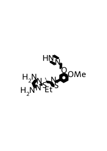 CCc1sc(-c2ccc(OC)c(OCCN3CCNCC3)c2)nc1[C@@H](C)Sc1nc(N)cc(N)n1